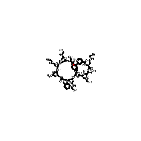 CC(C)C[C@@H]1NC(=O)[C@@H](Cc2ccccc2)NC(=O)[C@H](CCNCS)NC(=O)[C@@H](NC(=O)[C@H](CNCS)NC(=O)[C@H](CO)NC(=O)[C@H](CCNCS)NC(=O)c2ccnc(-c3cccc(Cl)c3)c2)CCNC(=O)[C@H]([C@@H](C)O)NC(=O)[C@H](CCNCS)NC(=O)[C@H](CCNCS)NC1=O